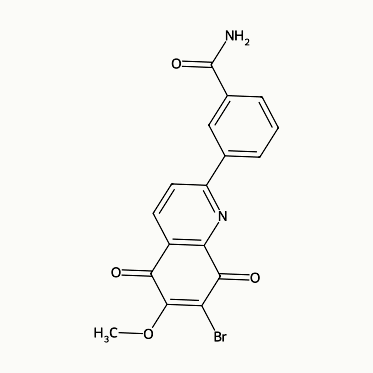 COC1=C(Br)C(=O)c2nc(-c3cccc(C(N)=O)c3)ccc2C1=O